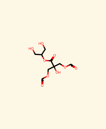 O=COCC(O)(COC=O)C(=O)OC(CO)CO